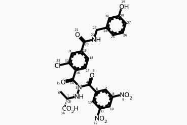 C[C@H](NN(C(=O)c1cc([N+](=O)[O-])cc([N+](=O)[O-])c1)C(=O)c1ccc(C(=O)NCc2cccc(O)c2)cc1Cl)C(=O)O